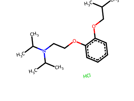 CC(C)COc1ccccc1OCCN(C(C)C)C(C)C.Cl